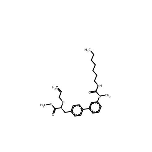 C=CCO[C@@H](Cc1ccc(-c2cccc(N(C)C(=O)NCCCCCCC)c2)cc1)C(=O)OC